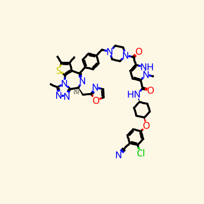 Cc1sc2c(c1C)C(c1ccc(CN3CCN(C(=O)C4=CC=C(C(=O)N[C@H]5CC[C@H](Oc6ccc(C#N)c(Cl)c6)CC5)N(C)N4)CC3)cc1)=N[C@@H](Cc1ncco1)c1nnc(C)n1-2